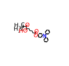 C=C(C)C(=O)C(O)CCCCC(=O)Oc1ccc(N(c2ccccc2)c2ccccc2)cc1